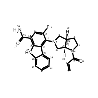 C=CC(=O)N1CC[C@H]2CN(c3c(F)cc(C(N)=O)c4[nH]c5ccccc5c34)C[C@H]21